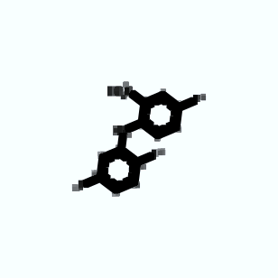 O=C(O)c1cc(F)ccc1Nc1cc(F)ccc1F